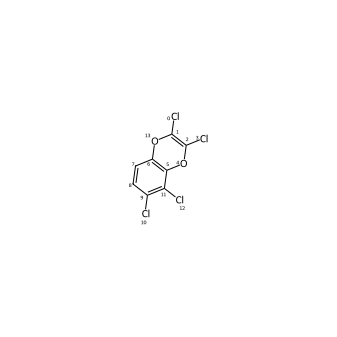 ClC1=C(Cl)Oc2c(ccc(Cl)c2Cl)O1